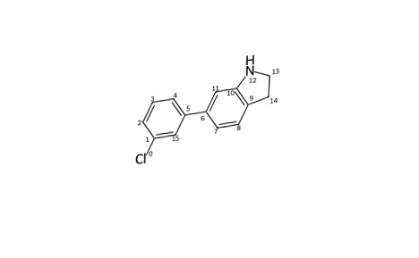 Clc1cccc(-c2ccc3c(c2)NCC3)c1